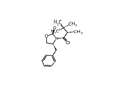 CC(C(=O)N1C(=O)OC[C@@H]1Cc1ccccc1)C(C)(C)C